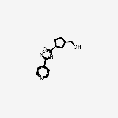 OC[C@@H]1CC[C@H](c2nc(-c3ccncc3)no2)C1